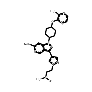 CNc1cc2c(cn1)c(-c1cnn(CC[S+](C)[O-])c1)nn2C1CCC(Oc2nccnc2C)CC1